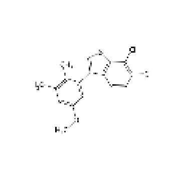 COc1cc(C)c(C)c(-c2csc3c(Cl)c(Cl)ccc23)c1